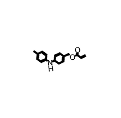 C=CC(=O)OCC1=CCC(Nc2ccc(C)cc2)C=C1